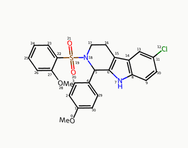 COc1ccc(C2c3[nH]c4ccc(Cl)cc4c3CCN2S(=O)(=O)c2ccccc2OC)cc1